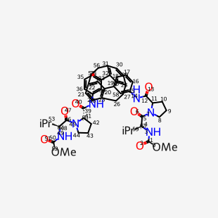 COC(=O)N[C@H](C(=O)N1CCCC1C(=O)Nc1cccc(-c2cc3ccc2CCc2ccc(c(-c4cccc(NC(=O)[C@@H]5CCCN5C(=O)[C@@H](NC(=O)OC)C(C)C)c4)c2)CC3)c1)C(C)C